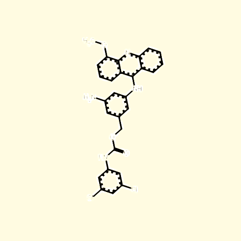 COc1cccc2c(Nc3cc(N)cc(COC(=O)Nc4cc(Cl)cc(Cl)c4)c3)c3ccccc3nc12